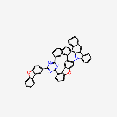 c1ccc(-c2nc(-c3ccc4oc5ccccc5c4c3)nc(-c3cccc4oc5cc(-n6c7ccccc7c7cc8ccccc8cc76)c(-c6ccccc6)cc5c34)n2)cc1